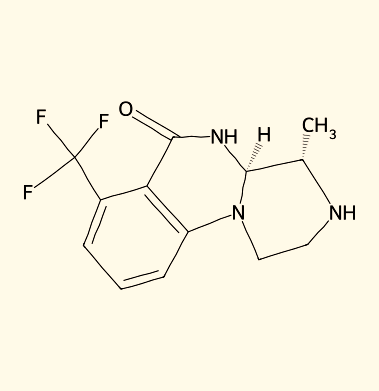 C[C@@H]1NCCN2c3cccc(C(F)(F)F)c3C(=O)N[C@@H]12